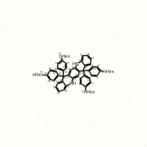 CCCCCCc1ccc(C2(c3ccc(CCCCCC)cc3)c3ccccc3Nc3cc4c(cc32)Nc2ccccc2C4(c2ccc(CCCCCC)cc2)c2ccc(CCCCCC)cc2)cc1